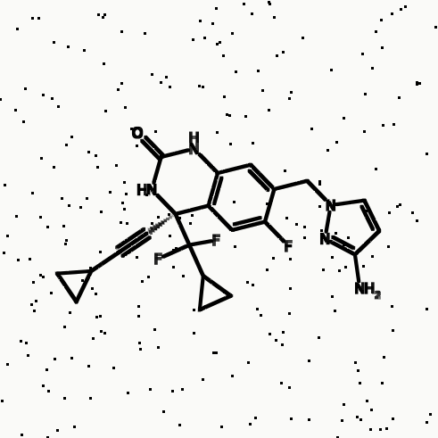 Nc1ccn(Cc2cc3c(cc2F)[C@@](C#CC2CC2)(C(F)(F)C2CC2)NC(=O)N3)n1